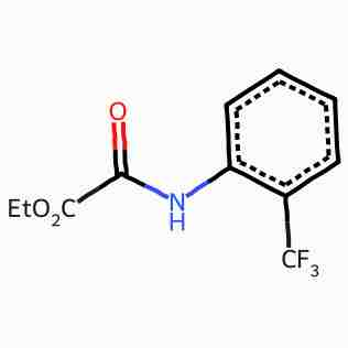 CCOC(=O)C(=O)Nc1ccccc1C(F)(F)F